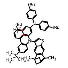 CC1=C2CC(C)(C2)c2cc3c(N(c4cc(C)cc(N(c5ccc(C(C)(C)C)cc5)c5ccc(C(C)(C)C)cc5)c4)c4ccc(S(C)(C)C)cc4-c4ccc(C(C)(C)C)cc4)csc3cc21